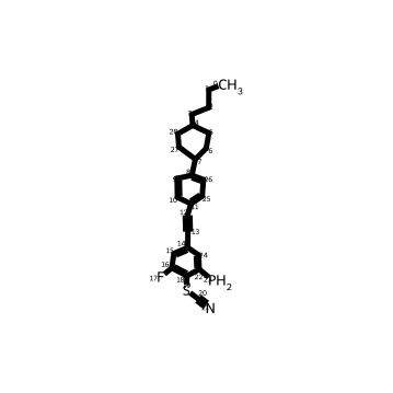 CCCCC1CCC(c2ccc(C#Cc3cc(F)c(SC#N)c(P)c3)cc2)CC1